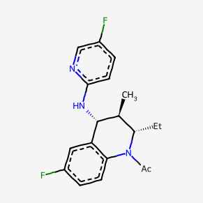 CC[C@H]1[C@H](C)[C@@H](Nc2ccc(F)cn2)c2cc(F)ccc2N1C(C)=O